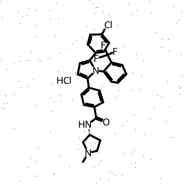 CN1CC[C@@H](NC(=O)c2ccc(-c3ccc(-c4ccc(Cl)cc4)n3-c3ccccc3C(F)(F)F)cc2)C1.Cl